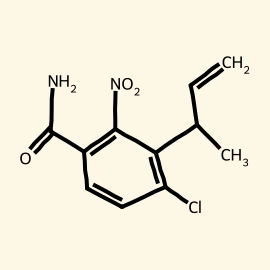 C=CC(C)c1c(Cl)ccc(C(N)=O)c1[N+](=O)[O-]